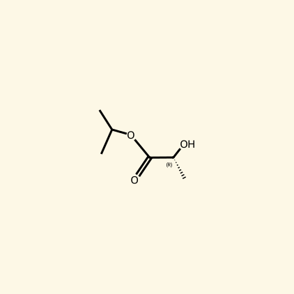 CC(C)OC(=O)[C@@H](C)O